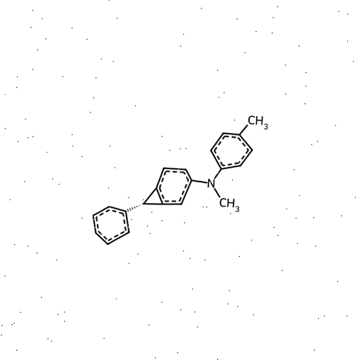 Cc1ccc(N(C)c2ccc3c(c2)[C@@H]3c2ccccc2)cc1